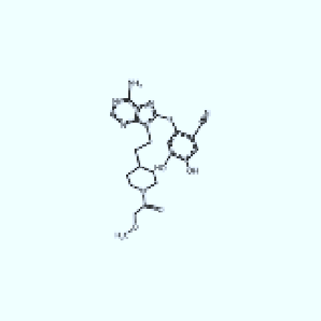 COCC(=O)N1CCC(CCn2c(Sc3cc(O)c(O)cc3C#N)nc3c(N)ncnc32)CC1